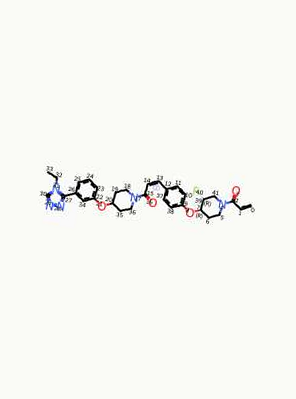 C=CC(=O)N1CC[C@@H](Oc2ccc(/C=C\C(=O)N3CCC(Oc4cccc(-c5nncn5CC)c4)CC3)cc2)[C@H](F)C1